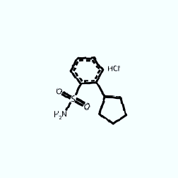 Cl.NS(=O)(=O)c1ccccc1C1CCCC1